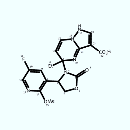 CCC1(N2C(=O)OCC2c2cc(F)cnc2OC)C=CN2NC=C(C(=O)O)C2=N1